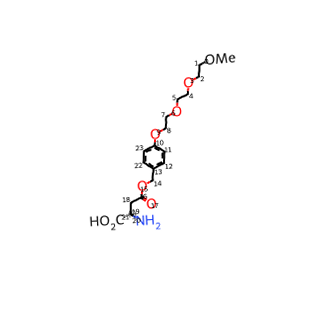 COCCOCCOCCOc1ccc(COC(=O)C[C@H](N)C(=O)O)cc1